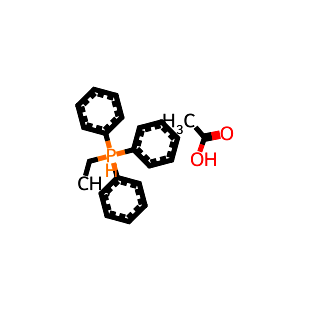 CC(=O)O.CC[PH](c1ccccc1)(c1ccccc1)c1ccccc1